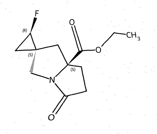 CCOC(=O)[C@@]12CCC(=O)N1C[C@@]1(C[C@H]1F)C2